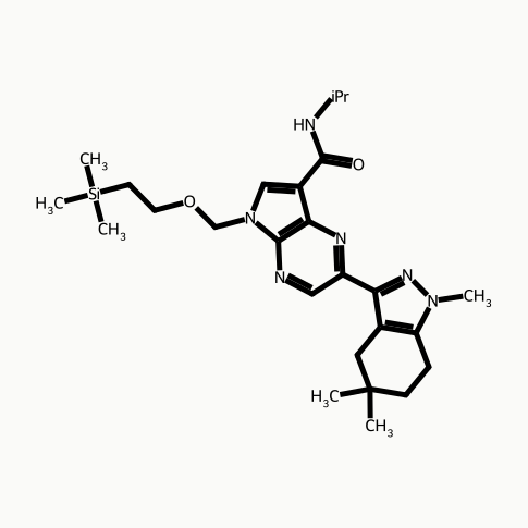 CC(C)NC(=O)c1cn(COCC[Si](C)(C)C)c2ncc(-c3nn(C)c4c3CC(C)(C)CC4)nc12